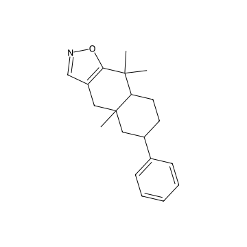 CC12Cc3cnoc3C(C)(C)C1CCC(c1ccccc1)C2